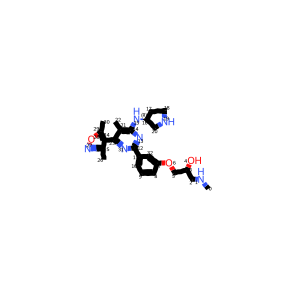 CNCC(O)COc1cccc(-c2nc(N[C@@H]3CCNC3)c(C)c(-c3c(C)noc3C)n2)c1